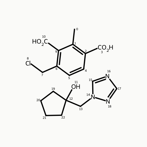 Cc1c(C(=O)O)ccc(CCl)c1C(=O)O.OC1(Cn2cncn2)CCCC1